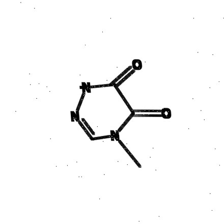 CN1C=N[N]C(=O)C1=O